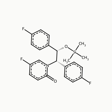 C[Si](C)(C)O[C@@H](c1ccc(F)cc1)[C@H](c1ccc(F)cc1)n1cc(F)ccc1=O